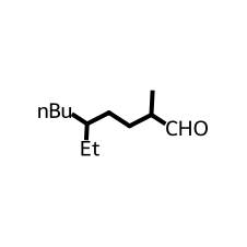 CCCCC(CC)CCC(C)C=O